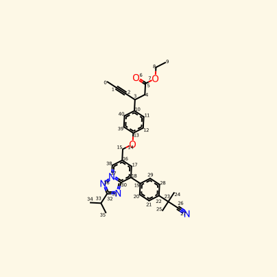 CC#CC(CC(=O)OCC)c1ccc(OCc2cc(-c3ccc(C(C)(C)C#N)cc3)c3nc(C(C)C)nn3c2)cc1